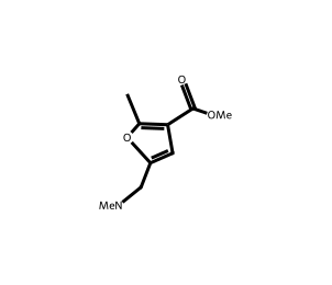 CNCc1cc(C(=O)OC)c(C)o1